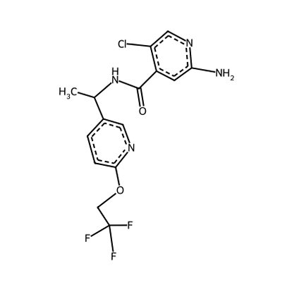 CC(NC(=O)c1cc(N)ncc1Cl)c1ccc(OCC(F)(F)F)nc1